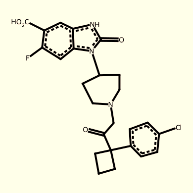 O=C(O)c1cc2[nH]c(=O)n(C3CCN(CC(=O)C4(c5ccc(Cl)cc5)CCC4)CC3)c2cc1F